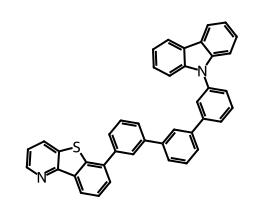 c1cc(-c2cccc(-c3cccc4c3sc3cccnc34)c2)cc(-c2cccc(-n3c4ccccc4c4ccccc43)c2)c1